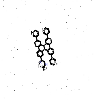 C=C/C=C\C(=C/N)c1ccc2c(c1)C1c3cc(-c4cccnc4)ccc3C3=C(C=C(c4cccnc4)CC3)C1C1=C2CCC(c2cccnc2)=C1